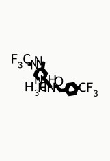 [2H][C@](C)(NC(=O)Cc1ccc(C(F)(F)F)cc1)c1cc2cnn(CC(F)(F)F)c2cn1